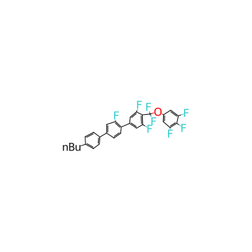 CCCCc1ccc(-c2ccc(-c3cc(F)c(C(F)(F)Oc4cc(F)c(F)c(F)c4)c(F)c3)c(F)c2)cc1